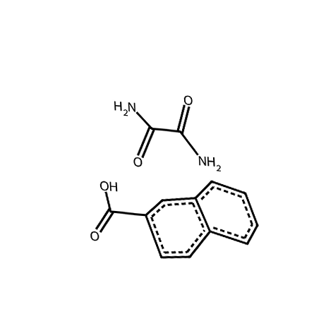 NC(=O)C(N)=O.O=C(O)c1ccc2ccccc2c1